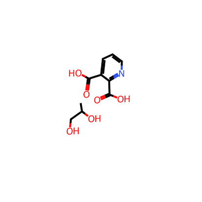 CC(O)CO.O=C(O)c1cccnc1C(=O)O